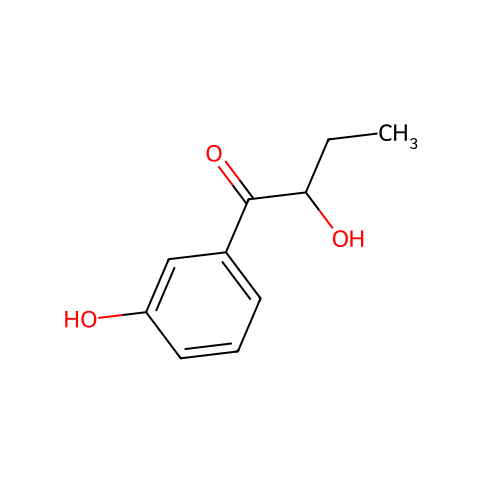 CCC(O)C(=O)c1cccc(O)c1